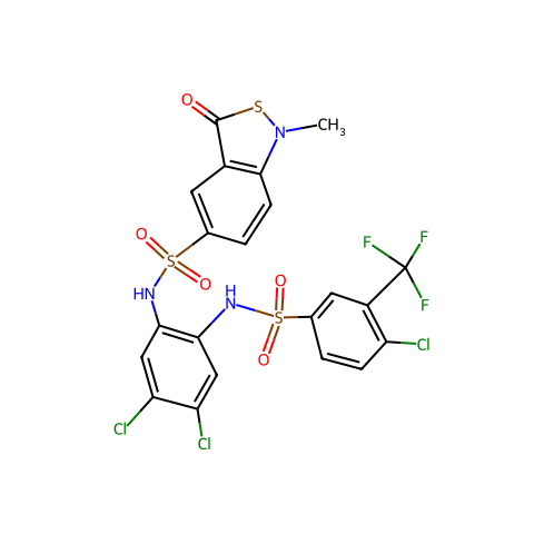 Cn1sc(=O)c2cc(S(=O)(=O)Nc3cc(Cl)c(Cl)cc3NS(=O)(=O)c3ccc(Cl)c(C(F)(F)F)c3)ccc21